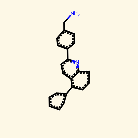 NCc1ccc(-c2ccc3c(-c4ccccc4)cccc3n2)cc1